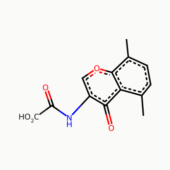 Cc1ccc(C)c2c(=O)c(NC(=O)C(=O)O)coc12